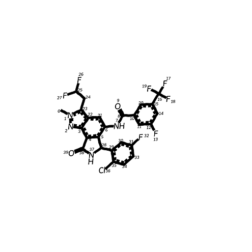 Cn1nc2c3c(c(NC(=O)c4cc(F)cc(C(F)(F)F)c4)cc2c1CC(F)F)C(c1cc(F)ccc1Cl)NC3=O